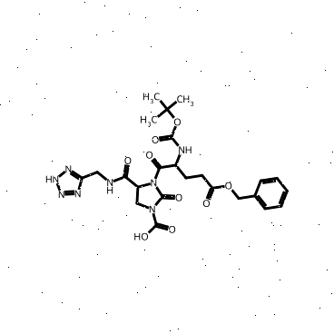 CC(C)(C)OC(=O)NC(CCC(=O)OCc1ccccc1)C(=O)N1C(=O)N(C(=O)O)CC1C(=O)NCc1nn[nH]n1